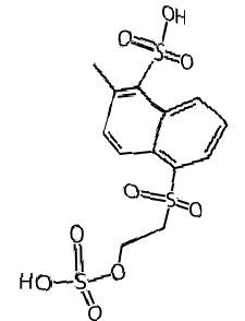 Cc1ccc2c(S(=O)(=O)CCOS(=O)(=O)O)cccc2c1S(=O)(=O)O